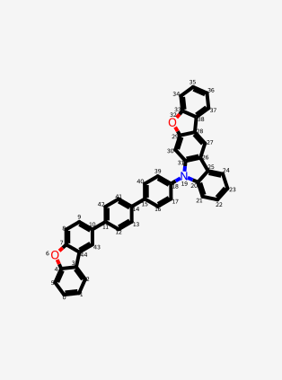 c1ccc2c(c1)oc1ccc(-c3ccc(-c4ccc(-n5c6ccccc6c6cc7c(cc65)oc5ccccc57)cc4)cc3)cc12